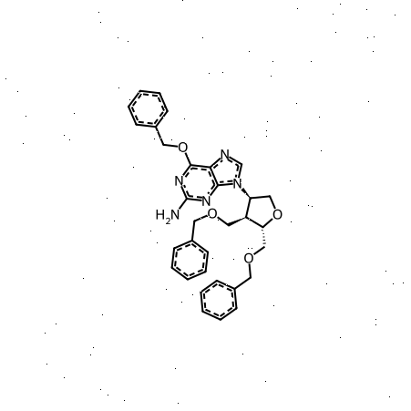 Nc1nc(OCc2ccccc2)c2ncn([C@H]3CO[C@H](COCc4ccccc4)[C@H]3COCc3ccccc3)c2n1